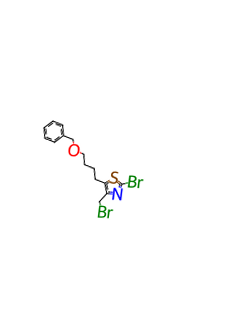 BrCc1nc(Br)sc1CCCCOCc1ccccc1